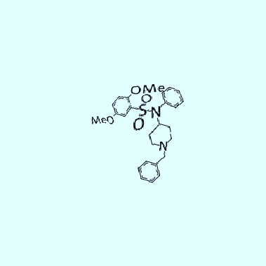 COc1ccc(OC)c(S(=O)(=O)N(c2ccccc2)C2CCN(Cc3ccccc3)CC2)c1